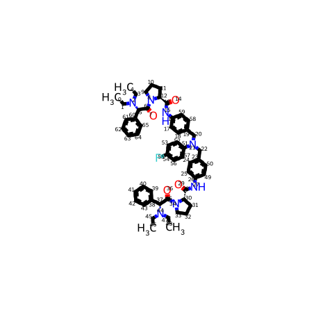 CCN(CC)[C@@H](C(=O)N1CCC[C@H]1C(=O)Nc1ccc(CN(Cc2ccc(NC(=O)[C@@H]3CCCN3C(=O)[C@@H](c3ccccc3)N(CC)CC)cc2)c2ccc(F)cc2)cc1)c1ccccc1